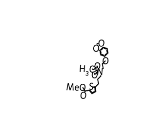 COC(=O)c1ccc(CCCN(CCOc2ccc3c(c2)OCO3)S(C)(=O)=O)s1